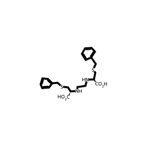 O=C(O)[C@H](CSCc1ccccc1)NCCN[C@@H](CSCc1ccccc1)C(=O)O